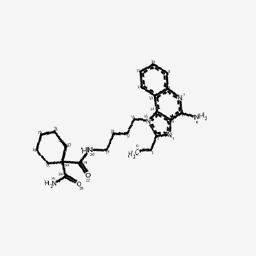 CCc1nc2c(N)nc3ccccc3c2n1CCCCNC(=O)C1(C(N)=O)CCCCC1